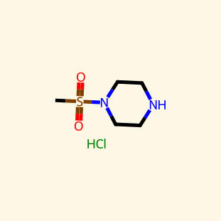 CS(=O)(=O)N1CCNCC1.Cl